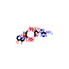 Nc1ncnc2c1ncn2[C@@H]1O[C@@H]2COP(=O)(O)O[C@@H]3[C@H](O)[C@@H](COP(=O)(S)O[C@H]2[C@H]1O)O[C@H]3n1cc(F)c2c1N=CCC2=O